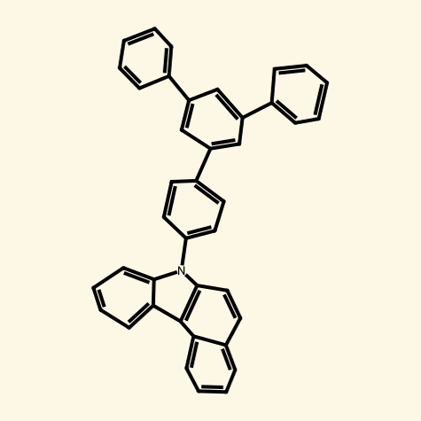 c1ccc(-c2cc(-c3ccccc3)cc(-c3ccc(-n4c5ccccc5c5c6ccccc6ccc54)cc3)c2)cc1